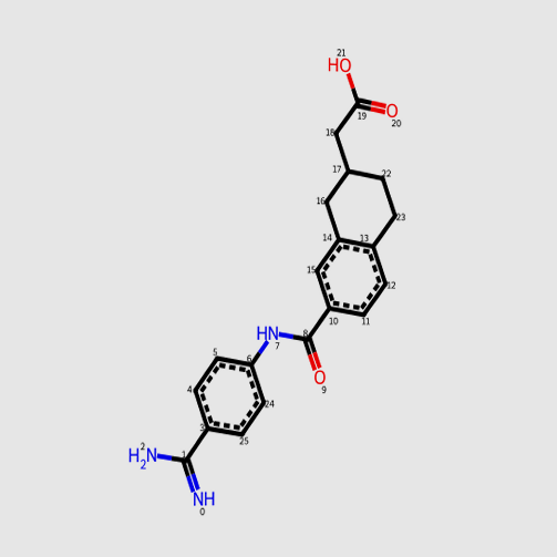 N=C(N)c1ccc(NC(=O)c2ccc3c(c2)CC(CC(=O)O)CC3)cc1